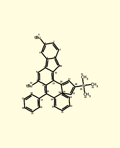 CC(C)(C)c1ccc2c(c1)=c1cc(C(C)(C)C)c(=C(c3ccccc3)c3ccccc3)c(C3=CC([Si](C)(C)C)=CC3)c1[C]=2